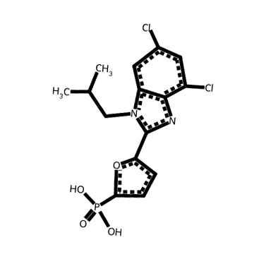 CC(C)Cn1c(-c2ccc(P(=O)(O)O)o2)nc2c(Cl)cc(Cl)cc21